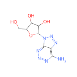 Nc1nnnc2c1nnn2C1OC(CO)C(O)C1O